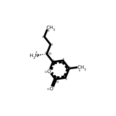 CCC[C@@H](N)c1cc(C)cc(=O)o1